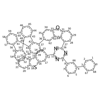 c1ccc(-c2cccc(-c3nc(-c4ccc5c(c4)sc4ccccc45)nc(-c4cccc5oc6ccc(-c7cccc8c7-c7ccccc7C87c8ccccc8-c8ccccc87)cc6c45)n3)c2)cc1